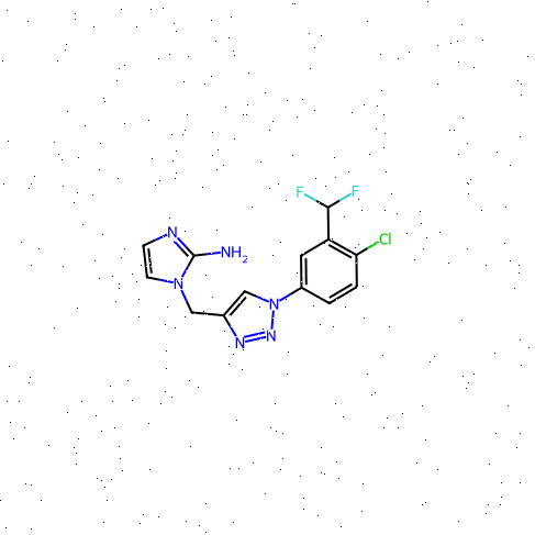 Nc1nccn1Cc1cn(-c2ccc(Cl)c(C(F)F)c2)nn1